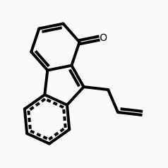 C=CCC1=C2C(=O)C=CC=C2c2ccccc21